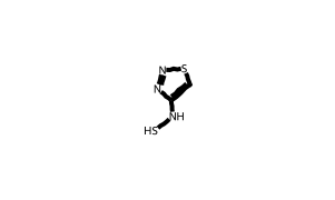 SNc1csnn1